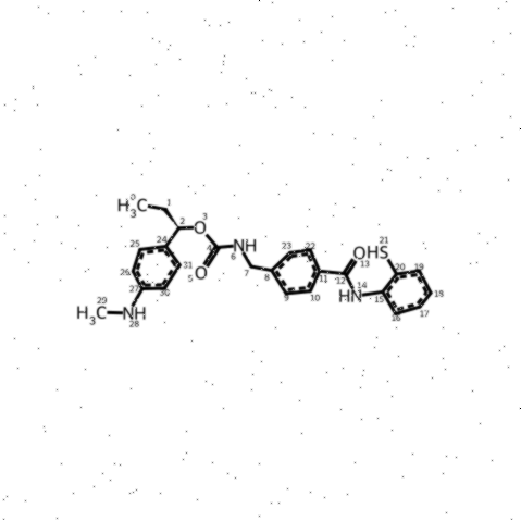 CC[C@@H](OC(=O)NCc1ccc(C(=O)Nc2ccccc2S)cc1)c1ccc(NC)cc1